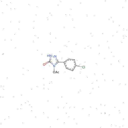 CC(=O)On1c(-c2ccc(Cl)cc2)n[nH]c1=O